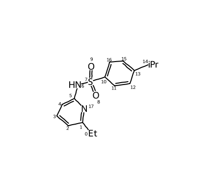 CCc1cccc(NS(=O)(=O)c2ccc(C(C)C)cc2)n1